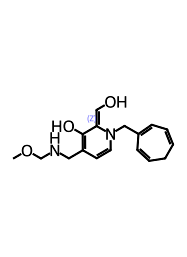 COCNCC1=C(O)/C(=C/O)N(CC2=CC=CCC=C2)C=C1